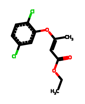 CCOC(=O)C=C(C)Oc1cc(Cl)ccc1Cl